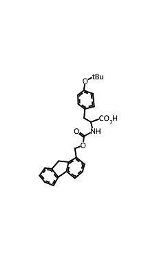 CC(C)(C)Oc1ccc(CC(NC(=O)OCc2cccc3c2Cc2ccccc2-3)C(=O)O)cc1